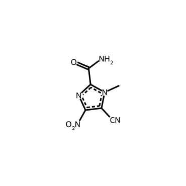 Cn1c(C(N)=O)nc([N+](=O)[O-])c1C#N